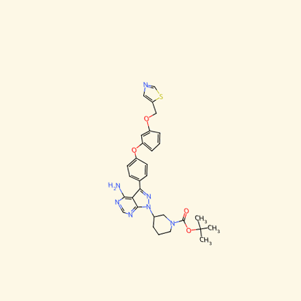 CC(C)(C)OC(=O)N1CCCC(n2nc(-c3ccc(Oc4cccc(OCc5cncs5)c4)cc3)c3c(N)ncnc32)C1